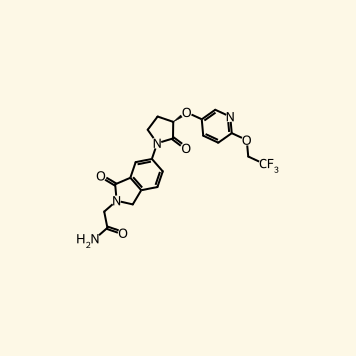 NC(=O)CN1Cc2ccc(N3CC[C@@H](Oc4ccc(OCC(F)(F)F)nc4)C3=O)cc2C1=O